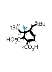 CC(C)(C)CC1=CC=C(C(=O)O)C(C(=O)O)C1(F)CC(C)(C)C